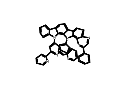 c1ccc(-c2cnc3ccc4c5ccc6c7ccccc7n(-c7cc(-c8ccccn8)nc(-c8ccccn8)c7)c6c5n(-c5ccccc5)c4c3n2)cc1